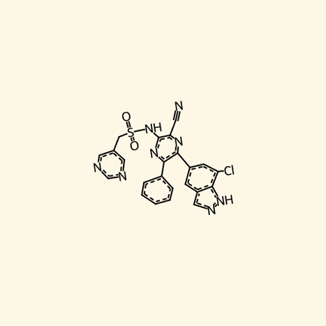 N#Cc1nc(-c2cc(Cl)c3[nH]ncc3c2)c(-c2ccccc2)nc1NS(=O)(=O)Cc1cncnc1